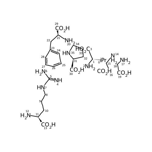 CC(C)[C@H](N)C(=O)O.N=C(N)NCCC[C@H](N)C(=O)O.NCC(=O)O.NCC(=O)O.N[C@@H](Cc1ccccc1)C(=O)O.O=C(O)[C@@H]1CCCN1